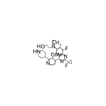 COc1c(-c2nc(C3(F)CC3)nc3c(F)cc(N(C)CCO)cc23)ccnc1C1CCNCC1